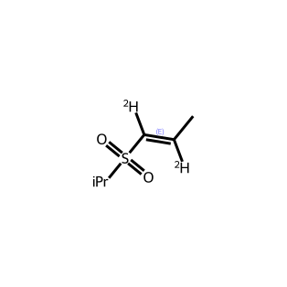 [2H]/C(C)=C(/[2H])S(=O)(=O)C(C)C